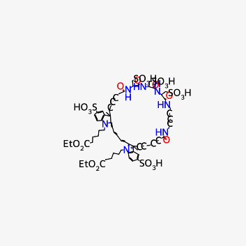 CCOC(=O)CCCCCN1\C2=C/C=C/C=C/C3=[N+](CCCCCC(=O)OCC)c4ccc(S(=O)(=O)O)cc4C3(C)CCCCCC(=O)NCCCCCNC(=O)C(CS(=O)(=O)O)NC(=O)C(CS(=O)(=O)O)NC(=O)C(CS(=O)(=O)O)NC(=O)CCCCCC2(C)c2cc(S(=O)(=O)O)ccc21